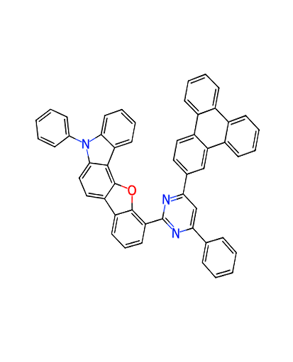 c1ccc(-c2cc(-c3ccc4c5ccccc5c5ccccc5c4c3)nc(-c3cccc4c3oc3c4ccc4c3c3ccccc3n4-c3ccccc3)n2)cc1